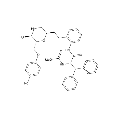 COC(=O)N[C@H](C(=O)Nc1ccccc1CC[C@@H]1CN[C@H](C)[C@@H](COc2ccc(C#N)cc2)O1)C(c1ccccc1)c1ccccc1